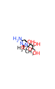 CC(C)[C@@]1(n2ccc(N)nc2=O)O[C@H](CO)[C@@H](O)[C@H]1O